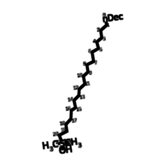 CCCCCCCCCCCCCCCCCCCCCCCCCCCCCC[Si](C)(C)O